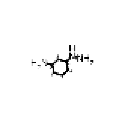 NNC1CCCC(N)C1